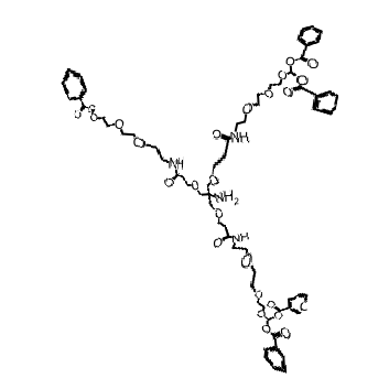 NC(COCCC(=O)NCCOCCOCCOOC(=O)c1ccccc1)(COCCC(=O)NCCOCCOCCOC(OC(=O)c1ccccc1)OC(=O)c1ccccc1)COCCC(=O)NCCOCCOCCOC(OC(=O)c1ccccc1)OC(=O)c1ccccc1